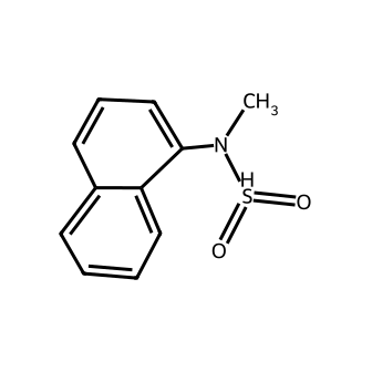 CN(c1cccc2ccccc12)[SH](=O)=O